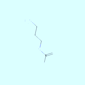 C=C(CC)NCCCN